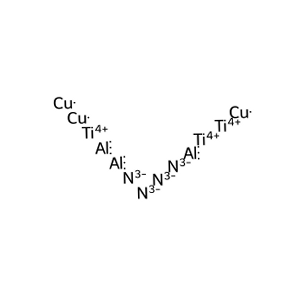 [Al].[Al].[Al].[Cu].[Cu].[Cu].[N-3].[N-3].[N-3].[N-3].[Ti+4].[Ti+4].[Ti+4]